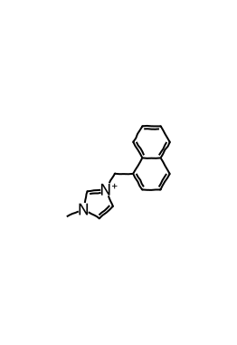 Cn1cc[n+](Cc2cccc3ccccc23)c1